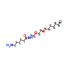 NCCCCCC(=O)NCCOCCOCCCCCCCl